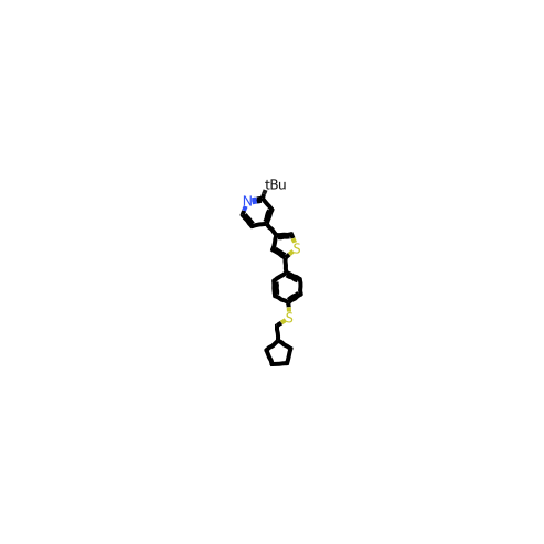 CC(C)(C)c1cc(-c2csc(-c3ccc(SCC4CCCC4)cc3)c2)ccn1